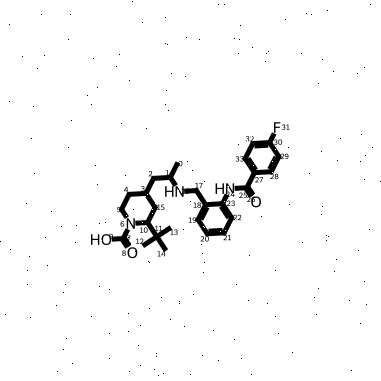 CC(CC1CCN(C(=O)O)C(C(C)(C)C)C1)NCc1ccccc1NC(=O)c1ccc(F)cc1